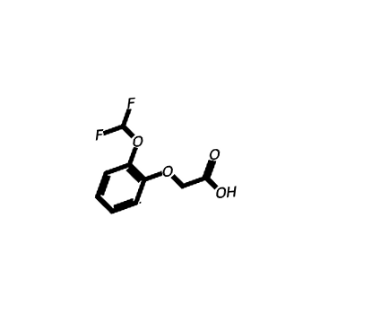 O=C(O)COc1[c]cccc1OC(F)F